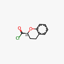 O=C(Cl)[C@@H]1CCc2ccccc2O1